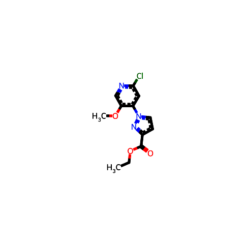 CCOC(=O)c1ccn(-c2cc(Cl)ncc2OC)n1